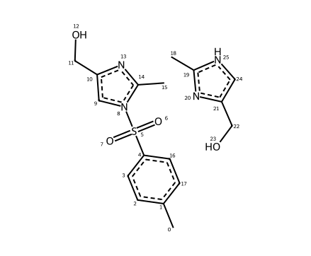 Cc1ccc(S(=O)(=O)n2cc(CO)nc2C)cc1.Cc1nc(CO)c[nH]1